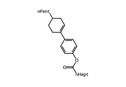 CCCCCCCC(=O)Oc1ccc(C2=CCC(CCCCC)CC2)cc1